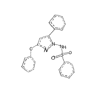 O=S(=O)(Nn1nc(Oc2ccccc2)cc1-c1ccccc1)c1ccccc1